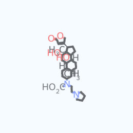 C[C@]12CC[C@H](N(CCN3CCCC3)C(=O)O)C[C@H]1CC[C@@H]1[C@@H]2C[C@@H](O)[C@]2(C)[C@@H](C3=CC(=O)OC3)CC[C@]12O